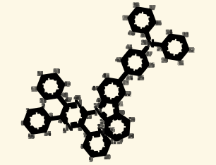 c1ccc(-c2nc(-c3ccccn3)c(-n3c4ccccc4c4cc(-c5ccc(N(c6ccccc6)c6ccccc6)cc5)ccc43)nc2-c2ccccc2)cc1